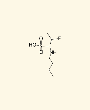 CCCCNC(C(C)F)S(=O)(=O)O